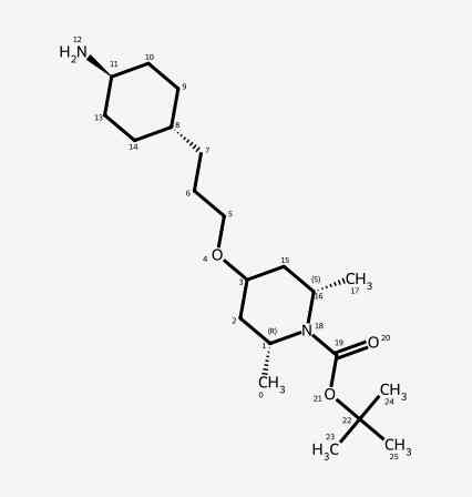 C[C@@H]1CC(OCCC[C@H]2CC[C@H](N)CC2)C[C@H](C)N1C(=O)OC(C)(C)C